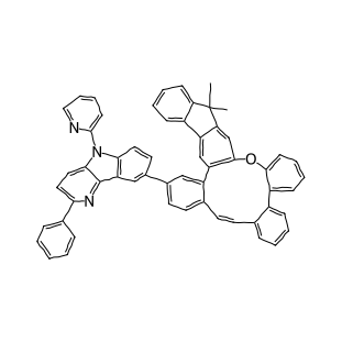 CC1(C)c2ccccc2-c2cc3c(cc21)Oc1ccccc1-c1ccccc1/C=C\c1ccc(-c2ccc4c(c2)c2nc(-c5ccccc5)ccc2n4-c2ccccn2)cc1-3